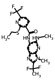 CCSc1nc(C(F)(F)F)ccc1C(=O)Nc1cc2nc(C(C)(F)F)n(C)c2nc1NC